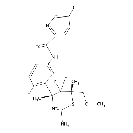 COC[C@]1(C)SC(N)=N[C@](C)(c2cc(NC(=O)c3ccc(Cl)cn3)ccc2F)C1(F)F